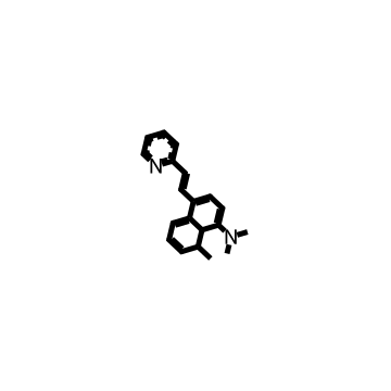 CC1C=CC=C2C(/C=C/c3ccccn3)=CC=C(N(C)C)C21